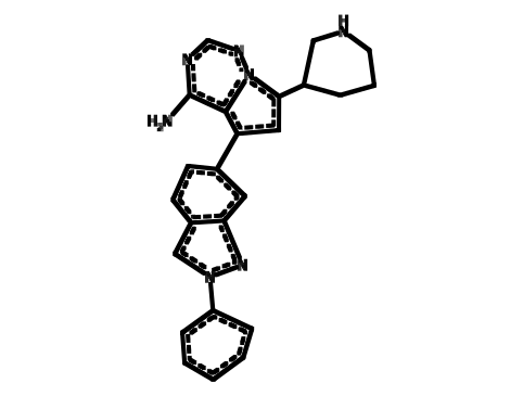 Nc1ncnn2c(C3CCCNC3)cc(-c3ccc4cn(-c5ccccc5)nc4c3)c12